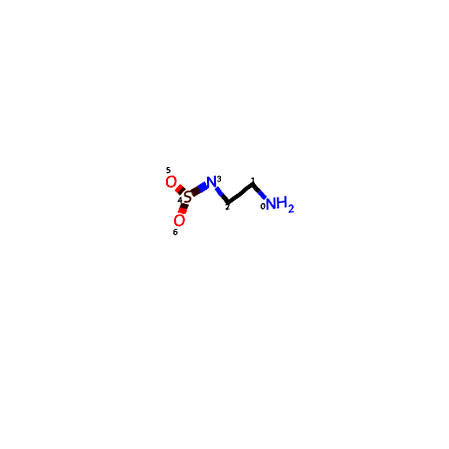 NCCN=S(=O)=O